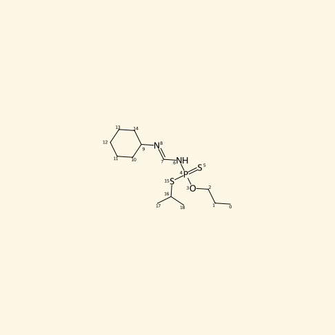 CCCOP(=S)(NC=NC1CCCCC1)SC(C)C